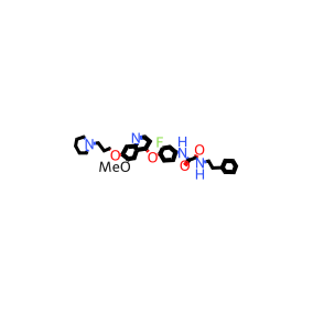 COc1cc2c(Oc3ccc(NC(=O)C(=O)NCCc4ccccc4)cc3F)ccnc2cc1OCCCN1CCCCC1